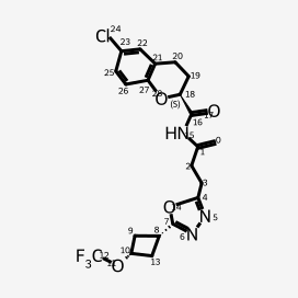 C=C(CCc1nnc([C@H]2C[C@@H](OC(F)(F)F)C2)o1)NC(=O)[C@@H]1CCc2cc(Cl)ccc2O1